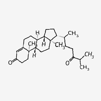 CC(C)C(=O)CCC(C)[C@H]1CC[C@H]2[C@@H]3CCC4=CC(=O)CC[C@]4(C)[C@H]3CC[C@]12C